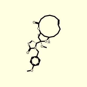 COc1ccc(CN2C(=O)SC[C@@H]2[C@@]2(OC)C[C@H]3C[C@@H](CCC/C=C/CCCCC(=O)O3)O2)cc1